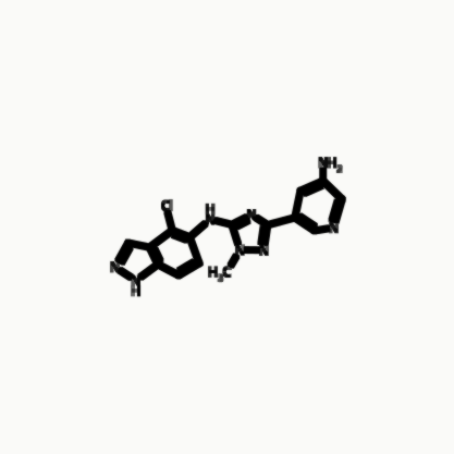 Cn1nc(-c2cncc(N)c2)nc1Nc1ccc2[nH]ncc2c1Cl